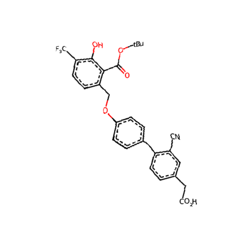 CC(C)(C)OC(=O)c1c(COc2ccc(-c3ccc(CC(=O)O)cc3C#N)cc2)ccc(C(F)(F)F)c1O